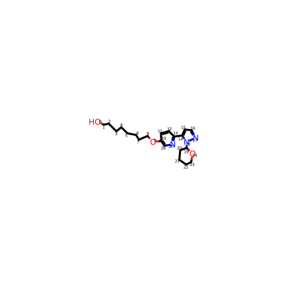 OCCCCCCCCOc1ccc(-c2ccnn2C2CCCCO2)nc1